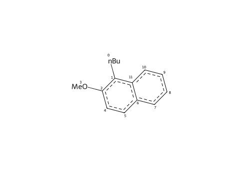 CCCCc1c(OC)ccc2ccccc12